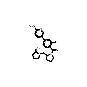 COc1ncc(-c2ccc(C(=O)N3CCCC3CN3CCCC3C)c(F)c2)cn1